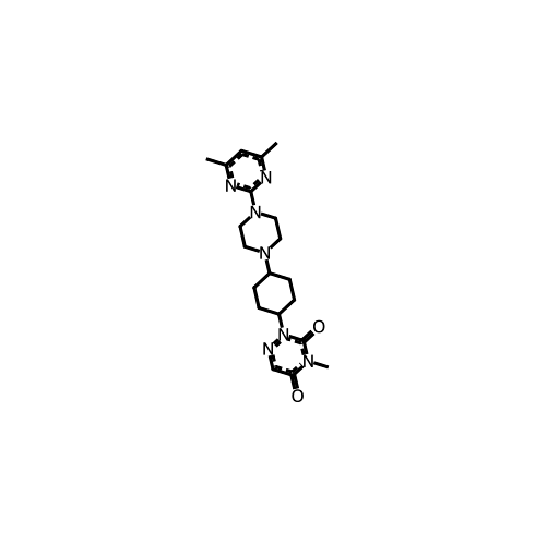 Cc1cc(C)nc(N2CCN(C3CCC(n4ncc(=O)n(C)c4=O)CC3)CC2)n1